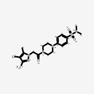 Cc1c(Cl)c(C(F)(F)F)nn1CC(=O)N1CCN(c2ccc(S(=O)(=O)N(C)C)cc2)CC1